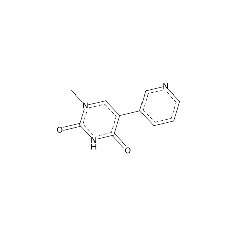 Cn1cc(-c2cccnc2)c(=O)[nH]c1=O